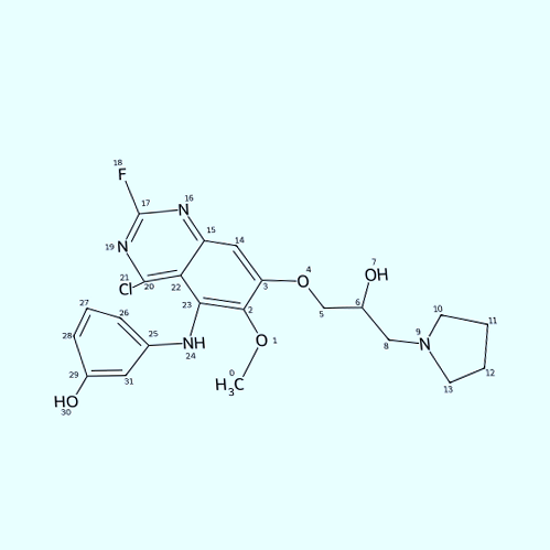 COc1c(OCC(O)CN2CCCC2)cc2nc(F)nc(Cl)c2c1Nc1cccc(O)c1